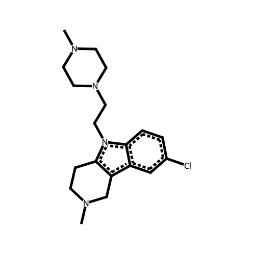 CN1CCN(CCn2c3c(c4cc(Cl)ccc42)CN(C)CC3)CC1